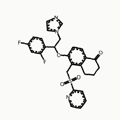 O=C1CCCc2c1ccc(OC(Cn1ccnc1)c1ccc(F)cc1F)c2CS(=O)(=O)c1ccccn1